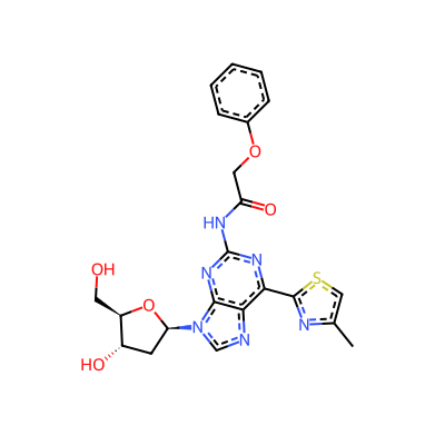 Cc1csc(-c2nc(NC(=O)COc3ccccc3)nc3c2ncn3[C@H]2C[C@H](O)[C@@H](CO)O2)n1